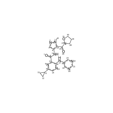 Cn1ncc(NC(=O)c2nc(C3CC3)cnc2Nc2cncnc2)c1C(=O)N1CCCO1